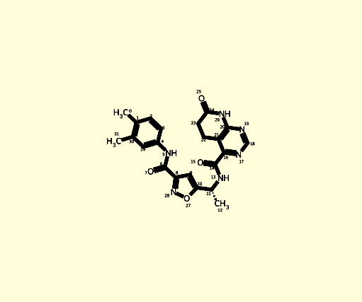 Cc1ccc(NC(=O)c2cc([C@@H](C)NC(=O)c3ncnc4c3CCC(=O)N4)on2)cc1C